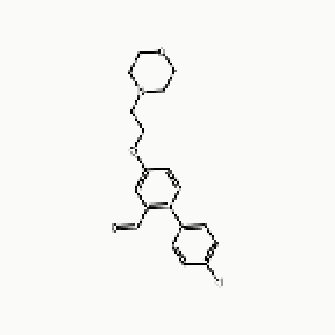 O=Cc1cc(OCCN2CCOCC2)ccc1-c1ccc(Cl)cc1